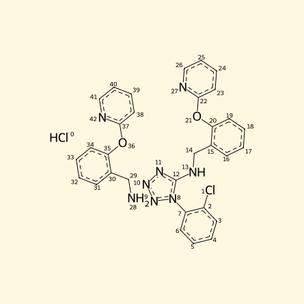 Cl.Clc1ccccc1-n1nnnc1NCc1ccccc1Oc1ccccn1.NCc1ccccc1Oc1ccccn1